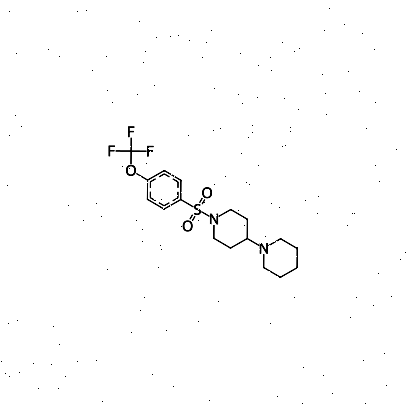 O=S(=O)(c1ccc(OC(F)(F)F)cc1)N1CCC(N2CCCCC2)CC1